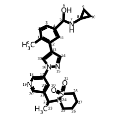 Cc1ccc(C(O)NC2CC2)cc1-c1cnn(-c2cncc(C(C)N3CCCCS3(=O)=O)c2)c1